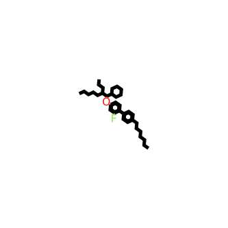 CCCCCCCc1ccc(-c2ccc(OC(C(CCC)CCCCC)C3CCCCC3)cc2F)cc1